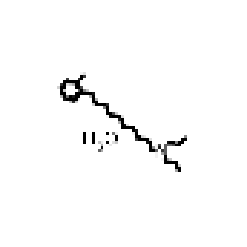 CCCN(CCC)CCCCCCCCCCc1ccccc1C.O